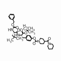 CC(C)C[C@H](NC(=O)OCc1ccccc1)C(=O)N[C@@H](Cc1ccc(OC(=O)N2CCC(C(=O)N3CCCCC3)CC2)cc1)C(=O)OC(C)(C)C